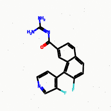 NC(N)=NC(=O)c1ccc2ccc(F)c(-c3ccncc3F)c2c1